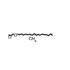 C.CCCCCCCCCCCCCCCCCCOCC1CO1